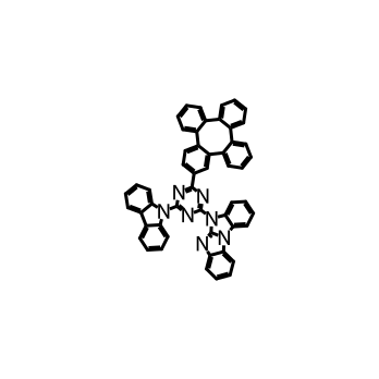 c1ccc2c(c1)-c1ccccc1-c1ccc(-c3nc(-n4c5ccccc5c5ccccc54)nc(-n4c5ccccc5n5c6ccccc6nc45)n3)cc1-c1ccccc1-2